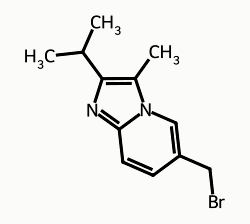 Cc1c(C(C)C)nc2ccc(CBr)cn12